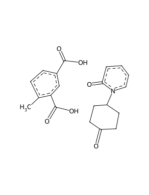 Cc1ccc(C(=O)O)cc1C(=O)O.O=C1CCC(n2ccccc2=O)CC1